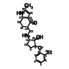 CCc1ccccc1OC1CCC(NCC2CCc3[nH]c(C)cc3C2=O)C1O